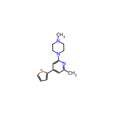 Cc1cc(-c2cccs2)cc(N2CCN(C)CC2)n1